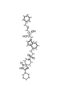 O=C1NC(C2CCCCC2)=NC12CCN(S(=O)(=O)CCc1cccc3c1ccn3C[C@H](O)[C@@H](O)COCc1ccccc1)CC2